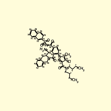 CCCCN(CCCC)C(=O)c1nn(-c2ccc(C(=O)NS(=O)(=O)c3ccc4ccccc4c3)cc2C(=O)N2Cc3ccccc3CC2CN)c(C)c1Cl